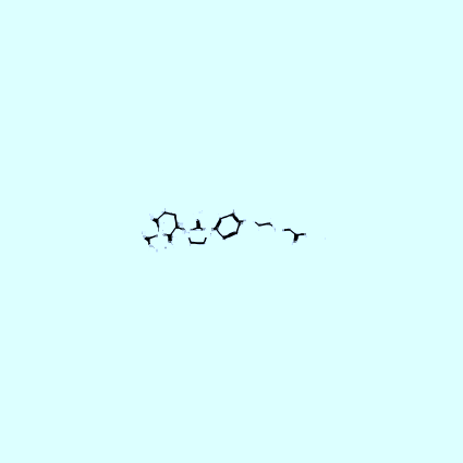 CC(=O)COCCOc1ccc(N2CCN(C3CCC(=O)N(C(=O)O)C3=O)C2=O)cc1